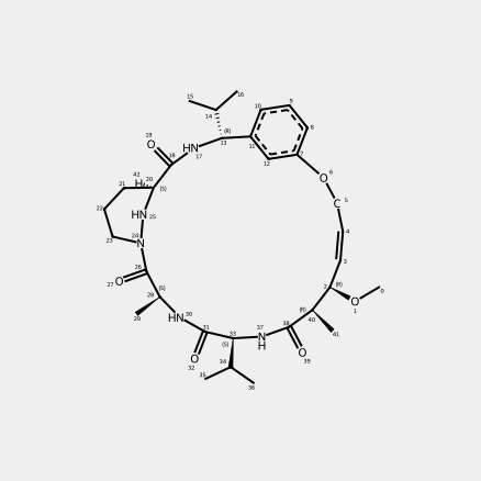 CO[C@@H]1C=CCOc2cccc(c2)[C@@H](C(C)C)NC(=O)[C@@H]2CCCN(N2)C(=O)[C@H](C)NC(=O)[C@H](C(C)C)NC(=O)[C@@H]1C